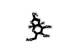 CC(=O)OCC1O[C@@H]2OC(C)=N[C@H]2C(OC(C)=O)[C@H]1OC(C)=O